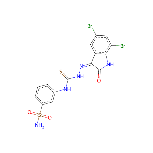 NS(=O)(=O)c1cccc(NC(=S)NN=C2C(=O)Nc3c(Br)cc(Br)cc32)c1